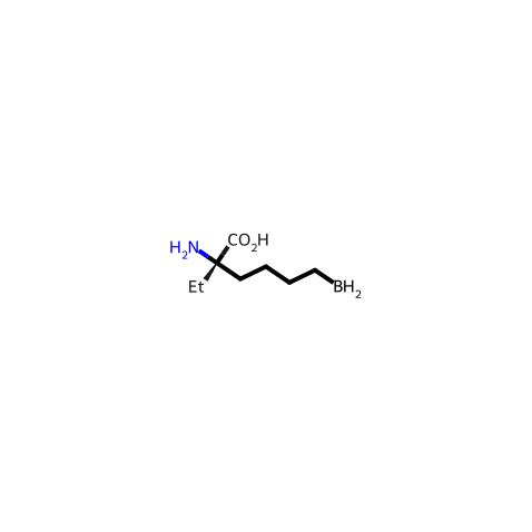 BCCCC[C@@](N)(CC)C(=O)O